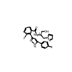 O=C(N[C@@H](CO)Cn1cccn1)c1cccc(F)c1-c1cc(-c2ccc(F)cc2)[nH]n1